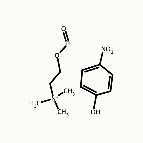 C[N+](C)(C)CCOP=O.O=[N+]([O-])c1ccc(O)cc1